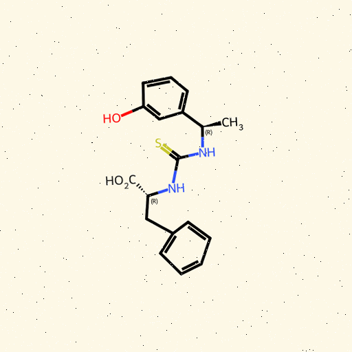 C[C@@H](NC(=S)N[C@H](Cc1ccccc1)C(=O)O)c1cccc(O)c1